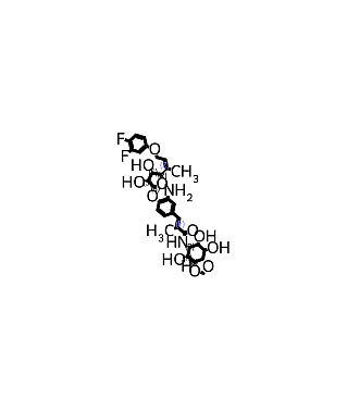 C/C(=C/COc1ccc(F)c(F)c1)[C@H]1O[C@@H](Oc2ccc(/C=C(\C)C(=O)N[C@@H]3C(O)C(O)C4OCO[C@H]4[C@@H]3O)cc2N)[C@@H](O)[C@@H]1O